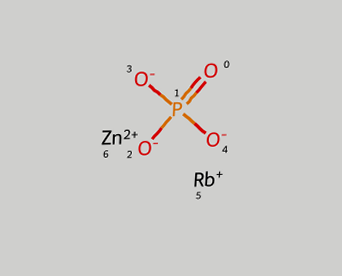 O=P([O-])([O-])[O-].[Rb+].[Zn+2]